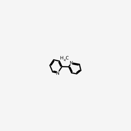 C.c1ccc(-c2ccccn2)nc1